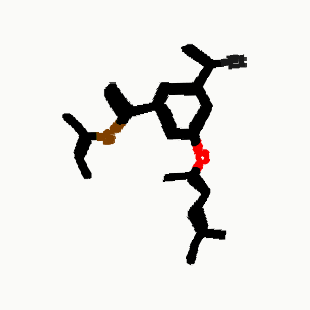 C=C(CC)c1cc(O/C(C)=C/C=C(C)C)cc(C(=C)S/C(C)=C\C)c1